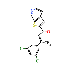 O=C(/C=C(/c1cc(Cl)cc(Cl)c1)C(F)(F)F)c1cc2ccncc2s1